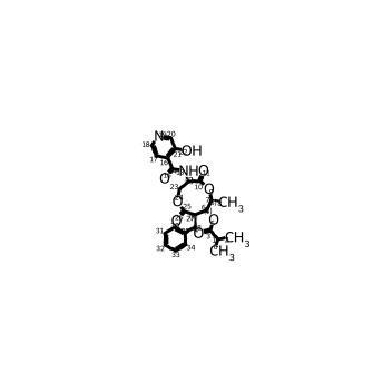 CC(C)C(=O)O[C@H]1[C@H](C)OC(=O)[C@@H](NC(=O)c2ccncc2O)COC(=O)[C@@H]1Cc1ccccc1